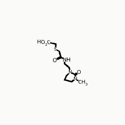 CN1CCCN(CCNC(=O)CSCC(=O)O)C1=O